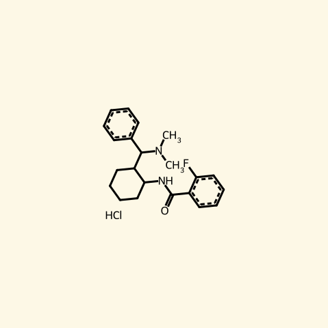 CN(C)C(c1ccccc1)C1CCCCC1NC(=O)c1ccccc1F.Cl